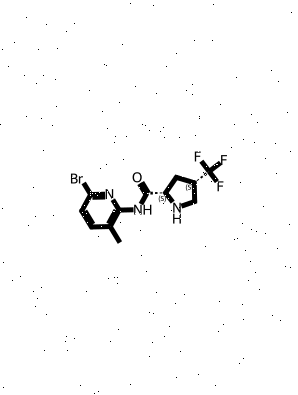 Cc1ccc(Br)nc1NC(=O)[C@@H]1C[C@H](C(F)(F)F)CN1